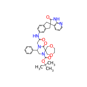 CC(C)(C)OC(=O)N1CC(c2ccccc2)N(CC(=O)Nc2ccc3c(c2)CC2(C3)C(=O)Nc3ncccc32)C(=O)C12COCCOC2